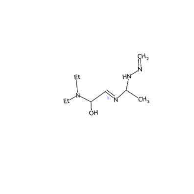 C=NNC(C)/N=C/C(O)N(CC)CC